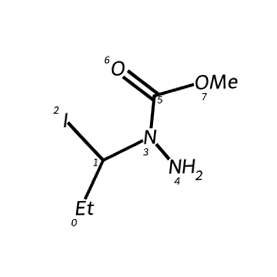 CCC(I)N(N)C(=O)OC